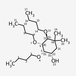 CCCCO[C@@H]1[C@H](OCCCC)[C@@H](OCCCC)C(C)(C)C[C@@H]1O